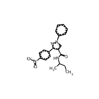 CCC(C)NC(=O)c1cn(-c2ccccc2)nc1-c1ccc([N+](=O)[O-])cc1